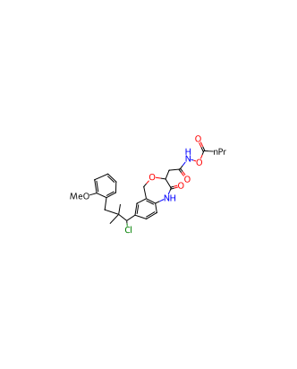 CCCC(=O)ONC(=O)CC1OCc2cc(C(Cl)C(C)(C)Cc3ccccc3OC)ccc2NC1=O